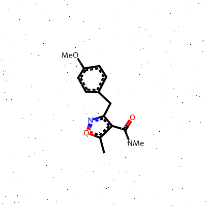 CNC(=O)c1c(Cc2ccc(OC)cc2)noc1C